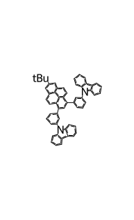 CC(C)(C)c1cc2ccc3c(-c4cccc(-n5c6ccccc6c6ccccc65)c4)cc(-c4cccc(-n5c6ccccc6c6ccccc65)c4)c4ccc(c1)c2c34